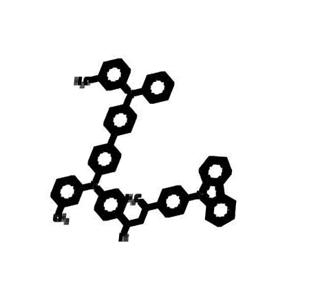 CCC(CC(C)c1ccc(-n2c3ccccc3c3ccccc32)cc1)c1ccc(N(c2ccc(-c3ccc(N(c4ccccc4)c4cccc(C)c4)cc3)cc2)c2cccc(C)c2)cc1